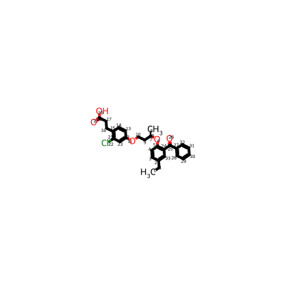 CCc1ccc(O[C@H](C)CCOc2ccc(CCC(=O)O)c(Cl)c2)c(C(=O)c2ccccc2)c1